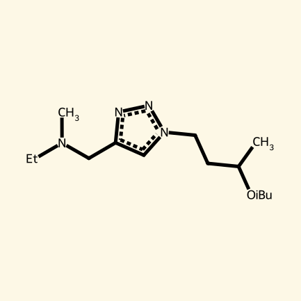 CCN(C)Cc1cn(CCC(C)OCC(C)C)nn1